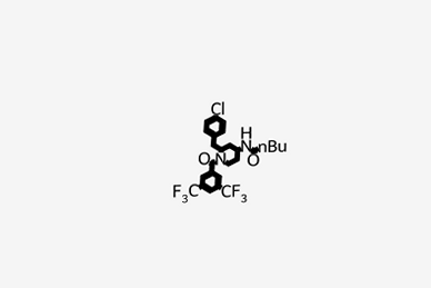 CCCCC(=O)NC1CCN(C(=O)c2cc(C(F)(F)F)cc(C(F)(F)F)c2)C(Cc2ccc(Cl)cc2)C1